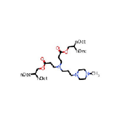 CCCCCCCCCCC(CCCCCCCC)COC(=O)CCN(CCCN1CCN(C)CC1)CCC(=O)OCC(CCCCCCCC)CCCCCCCCCC